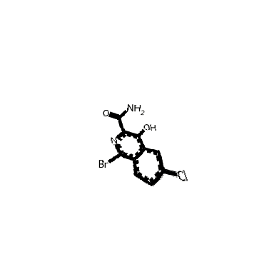 NC(=O)c1nc(Br)c2ccc(Cl)cc2c1O